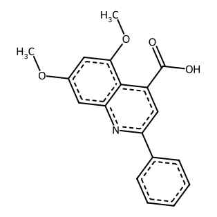 COc1cc(OC)c2c(C(=O)O)cc(-c3ccccc3)nc2c1